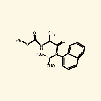 CCCC[C@@H]([C]=O)N(C(=O)[C@H](C)NC(=O)OC(C)(C)C)c1cccc2ccccc12